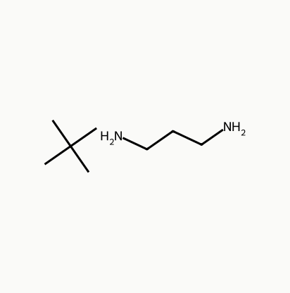 CC(C)(C)C.NCCCN